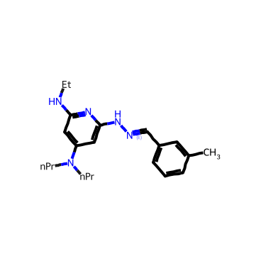 CCCN(CCC)c1cc(NCC)nc(N/N=C/c2cccc(C)c2)c1